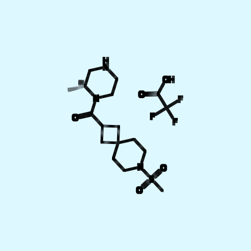 C[C@@H]1CNCCN1C(=O)C1CC2(CCN(S(C)(=O)=O)CC2)C1.O=C(O)C(F)(F)F